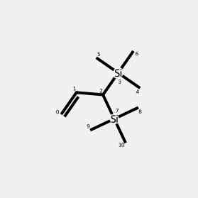 C=CC([Si](C)(C)C)[Si](C)(C)C